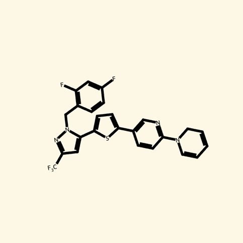 Fc1ccc(Cn2nc(C(F)(F)F)cc2-c2ccc(-c3ccc(N4C=CC=CC4)nc3)s2)c(F)c1